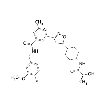 COc1cc(CNC(=O)c2cc(C3=NOC(C4CCC(NC(=O)[C@H](C)O)CC4)C3)nc(C)n2)ccc1F